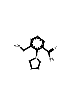 COCc1cccc(C(N)=O)c1N1CCCC1